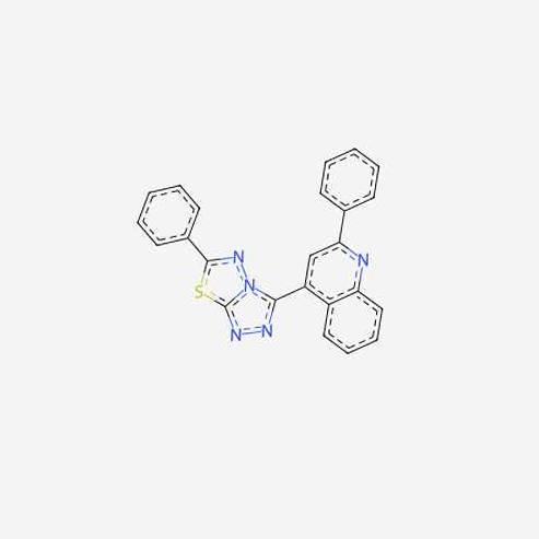 c1ccc(-c2cc(-c3nnc4sc(-c5ccccc5)nn34)c3ccccc3n2)cc1